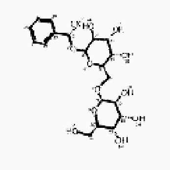 N#C[C@H](OC1O[C@H](CO[C@@H]2O[C@H](CO)[C@@H](O)[C@@H](O)[C@@H]2O)[C@@H](O)[C@@H](O)[C@@H]1O)c1ccccc1